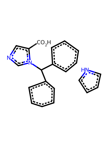 O=C(O)c1cncn1C(c1ccccc1)c1ccccc1.c1cc[nH]c1